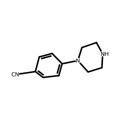 [C-]#[N+]c1ccc(N2CCNCC2)cc1